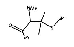 CNC(C(=O)C(C)C)C(C)(C)SC(C)C